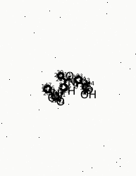 Cc1c(NC(=O)C(c2ccc(CN3N=C(c4ccccc4)OCC3=O)cc2)C2CCCC2)cccc1C(CC(=O)O)C(C)(C)C